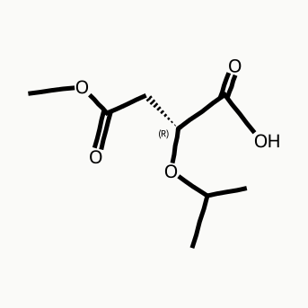 COC(=O)C[C@@H](OC(C)C)C(=O)O